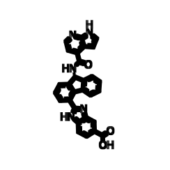 O=C(O)c1ccc2[nH]c(-c3cccc4c3-c3ccccc3[C@H]4NC(=O)c3ccnc4[nH]ccc34)nc2c1